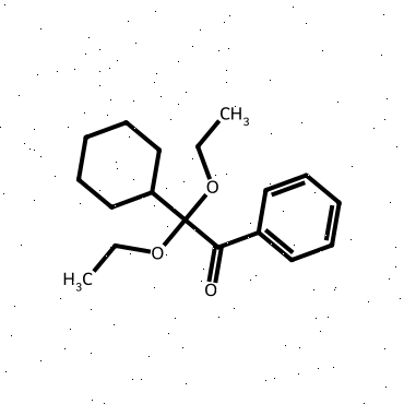 CCOC(OCC)(C(=O)c1ccccc1)C1CCCCC1